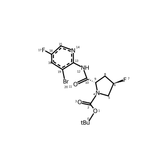 CC(C)(C)OC(=O)N1C[C@H](F)C[C@H]1C(=O)Nc1ncc(F)cc1Br